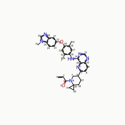 C=CC(=O)N1CC(c2ccc3ncnc(Nc4cc(C)c(Oc5ccc6c(c5)ncn6C)cc4F)c3n2)CCC12CC2